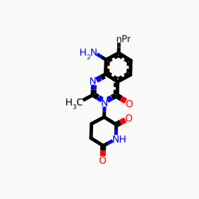 CCCc1ccc2c(=O)n(C3CCC(=O)NC3=O)c(C)nc2c1N